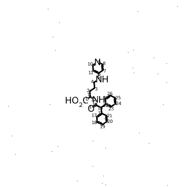 O=C(O)C(CCCNc1ccncc1)NC(=O)C(c1ccccc1)c1ccccc1